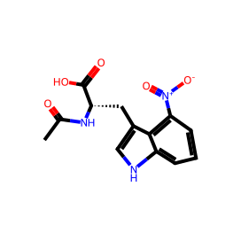 CC(=O)N[C@@H](Cc1c[nH]c2cccc([N+](=O)[O-])c12)C(=O)O